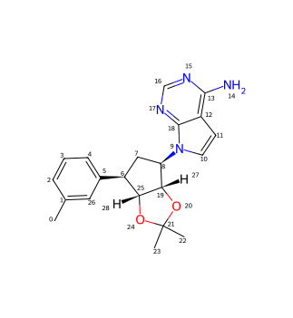 Cc1cccc([C@H]2C[C@@H](n3ccc4c(N)ncnc43)[C@@H]3OC(C)(C)O[C@@H]32)c1